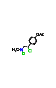 CC(=O)Oc1ccc(C(Cl)CN(C)Cl)cc1